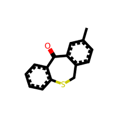 Cc1ccc2c(c1)C(=O)c1ccccc1SC2